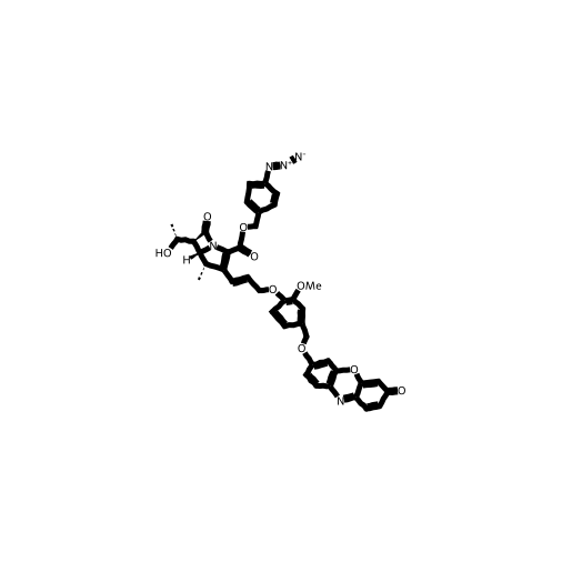 COc1cc(COc2ccc3nc4ccc(=O)cc-4oc3c2)ccc1OC/C=C/C1=C(C(=O)OCc2ccc(N=[N+]=[N-])cc2)N2C(=O)[C@H]([C@@H](C)O)[C@H]2[C@H]1C